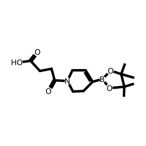 CC1(C)OB(C2=CCN(C(=O)CCC(=O)O)CC2)OC1(C)C